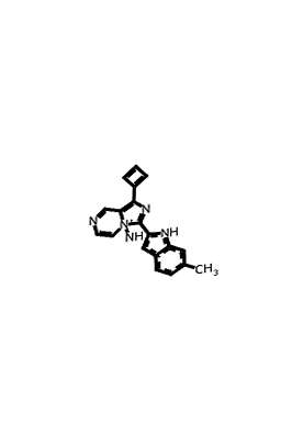 Cc1ccc2cc(C3=NC(C4=CC=C4)=C4C=NC=C[N+]34N)[nH]c2c1